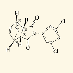 O=C1[C@@H]2[C@H](C(=O)N1c1cc(Cl)cc(Cl)c1)[C@@H]1C=C[C@H]2CCC1